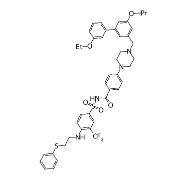 CCOc1cccc(-c2cc(CN3CCN(c4ccc(C(=O)NS(=O)(=O)c5ccc(NCCSc6ccccc6)c(C(F)(F)F)c5)cc4)CC3)cc(OC(C)C)c2)c1